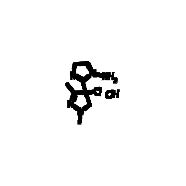 CC1=NN(C)CC1(Cl)C1=NCCN1N.Cl